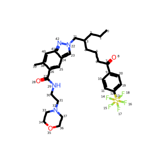 CCCC(CCCC(=O)c1ccc(S(F)(F)(F)(F)F)cc1)Cn1cc2cc(C(=O)NCCN3CCOCC3)c(C)cc2n1